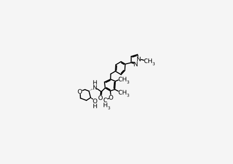 COc1c(C(=O)N[C@H]2COCC[C@@H]2O)cc(Cc2ccc(-c3ccn(C)n3)cc2)c(C)c1C